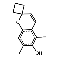 Cc1cc2c(c(C)c1O)C=CC1(CCC1)O2